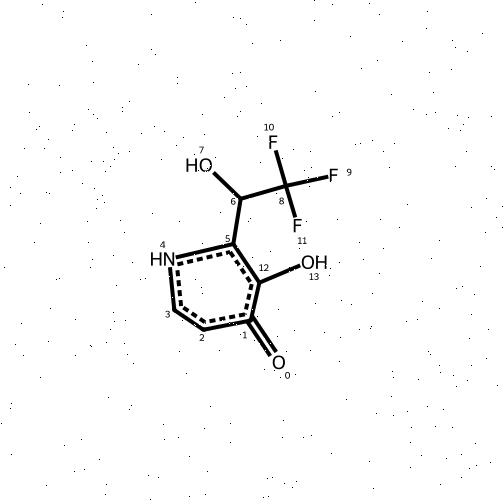 O=c1cc[nH]c(C(O)C(F)(F)F)c1O